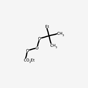 CCOC(=O)OOOC(C)(C)CC